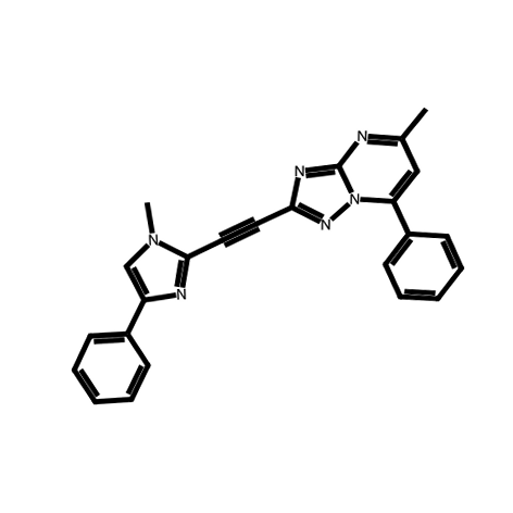 Cc1cc(-c2ccccc2)n2nc(C#Cc3nc(-c4ccccc4)cn3C)nc2n1